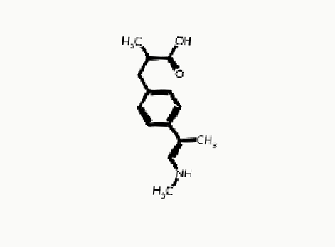 CN/C=C(\C)c1ccc(CC(C)C(=O)O)cc1